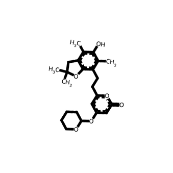 Cc1c(O)c(C)c2c(c1CCc1cc(OC3CCCCO3)cc(=O)o1)OC(C)(C)C2